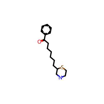 O=C(CCCCCCC1C[N]CCS1)c1ccccc1